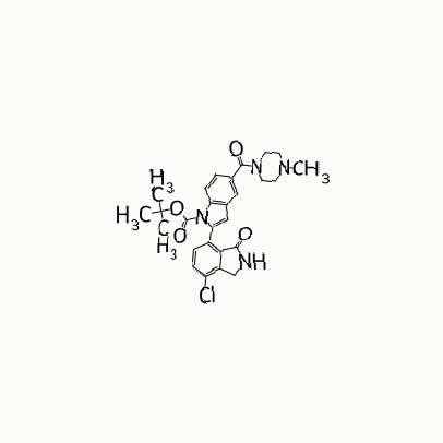 CN1CCN(C(=O)c2ccc3c(c2)cc(-c2ccc(Cl)c4c2C(=O)NC4)n3C(=O)OC(C)(C)C)CC1